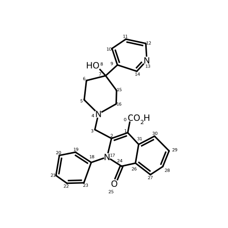 O=C(O)c1c(CN2CCC(O)(c3cccnc3)CC2)n(-c2ccccc2)c(=O)c2ccccc12